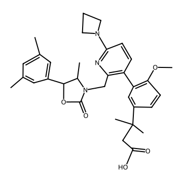 COc1ccc(C(C)(C)CC(=O)O)cc1-c1ccc(N2CCC2)nc1CN1C(=O)OC(c2cc(C)cc(C)c2)C1C